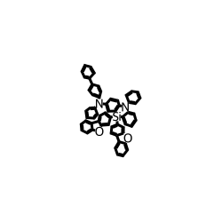 c1ccc(-c2ccc(N(c3ccccc3)c3ccc4c(c3)[Si](c3ccc5c(c3)oc3ccccc35)(c3ccc5c(c3)oc3ccccc35)c3ccccc3N4c3ccccc3)cc2)cc1